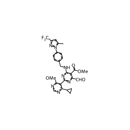 COC(=O)c1c(C=O)nc(-c2c(OC)ncnc2C2CC2)nc1NCc1ccc(-n2nc(C(F)(F)F)cc2C)cc1